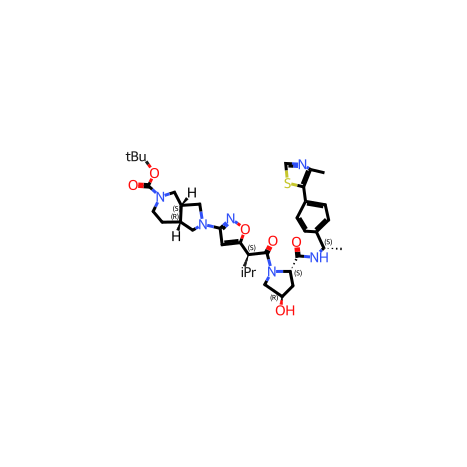 Cc1ncsc1-c1ccc([C@H](C)NC(=O)[C@@H]2C[C@@H](O)CN2C(=O)[C@H](c2cc(N3C[C@H]4CN(C(=O)OC(C)(C)C)CC[C@H]4C3)no2)C(C)C)cc1